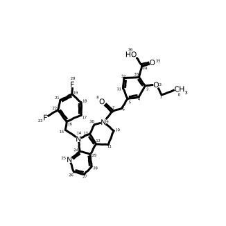 CCOc1cc(CC(=O)N2CCc3c(n(Cc4ccc(F)cc4F)c4ncccc34)C2)ccc1C(=O)O